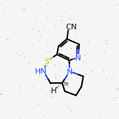 N#Cc1cnc2c(c1)SNC[C@@H]1CCCCN21